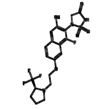 O=C1CN(c2c(O)cc3ccc(OCCN4CCC[C@H]4C(F)(F)F)cc3c2F)S(=O)(=O)N1